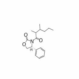 CCCC(C)C(C)C(=O)N1C(=O)OC[C@H]1c1ccccc1